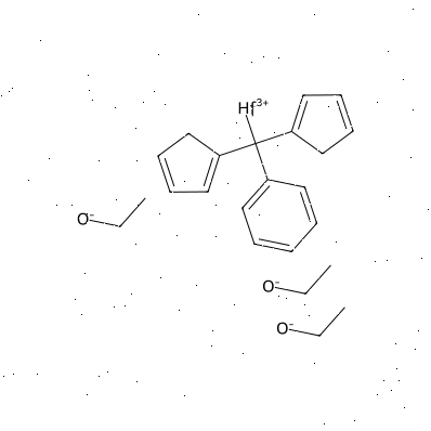 CC[O-].CC[O-].CC[O-].[Hf+3][C](C1=CC=CC1)(C1=CC=CC1)c1ccccc1